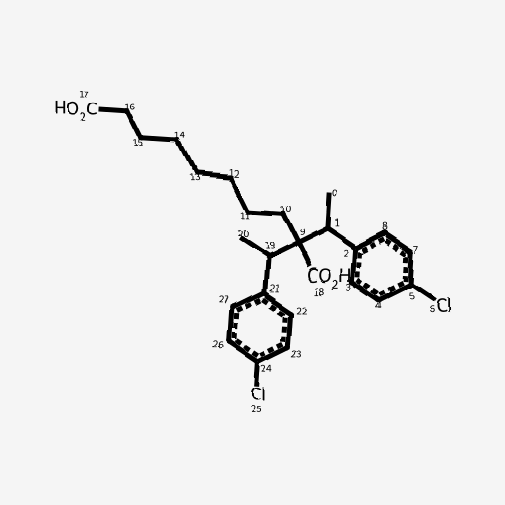 CC(c1ccc(Cl)cc1)C(CCCCCCCC(=O)O)(C(=O)O)C(C)c1ccc(Cl)cc1